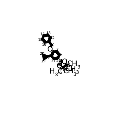 CC1(C)OB(c2ccc(OCc3ccccc3)c(C3CC3)c2)OC1(C)C